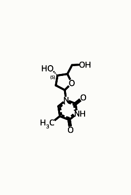 Cc1cn(C2C[C@H](O)C(CO)O2)c(=O)[nH]c1=O